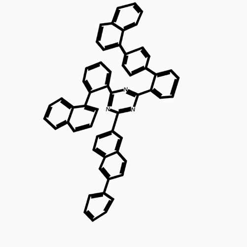 c1ccc(-c2ccc3cc(-c4nc(-c5ccccc5-c5ccc(-c6cccc7ccccc67)cc5)nc(-c5ccccc5-c5cccc6ccccc56)n4)ccc3c2)cc1